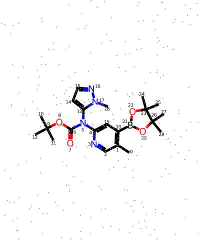 Cc1cnc(N(C(=O)OC(C)(C)C)c2ccnn2C)cc1B1OC(C)(C)C(C)(C)O1